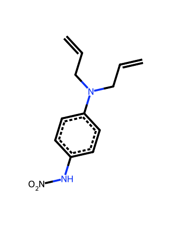 C=CCN(CC=C)c1ccc(N[N+](=O)[O-])cc1